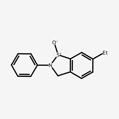 CCc1ccc2c(c1)[S+]([O-])N(c1ccccc1)C2